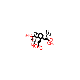 C/C(=C\C1CCCC(/C=C(\C)C(=O)O)C1/C=C(\C)C(=O)O)C(=O)O